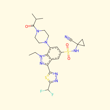 CCn1nc(-c2nnc(C(F)F)s2)c2cc(S(=O)(=O)NC3(C#N)CC3)cc(N3CCN(C(=O)C(C)C)CC3)c21